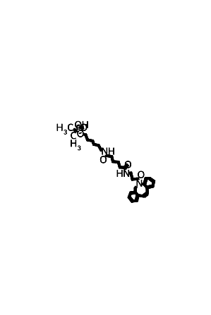 CC(C)P(=O)(O)OCCCCCCNC(=O)CCCCC(=O)NCCC(=O)N1Cc2ccccc2C#Cc2ccccc21